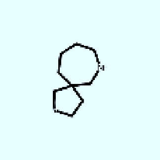 C1CCC2(CCSC2)CNC1